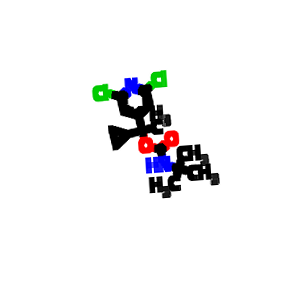 CC(C)(C)NC(=O)OC(C)(c1cc(Cl)nc(Cl)c1)C1CC1